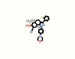 C[C@H]1C(O)=C(C#N)C[C@@]2(C)c3c(c(-c4ccccc4F)nn3-c3ccc(N4CCOCC4)cc3)CC[C@H]12